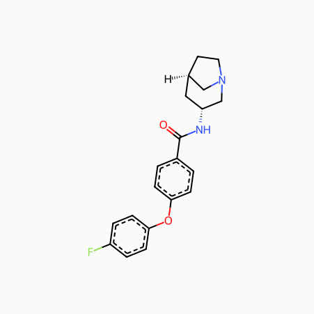 O=C(N[C@@H]1C[C@H]2CCN(C2)C1)c1ccc(Oc2ccc(F)cc2)cc1